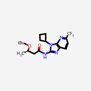 C[C@H](CC(=O)Nc1nc2ccc(C(F)(F)F)nc2n1C1CCC1)OC(C)(C)C